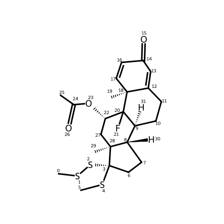 CSS[C@@]1(SC)CC[C@H]2[C@@H]3CCC4=CC(=O)C=C[C@]4(C)C3(F)[C@@H](OC(C)=O)C[C@@]21C